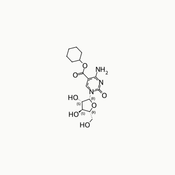 Nc1nc(=O)n([C@@H]2O[C@H](CO)[C@@H](O)[C@@H]2O)cc1C(=O)OC1CCCCC1